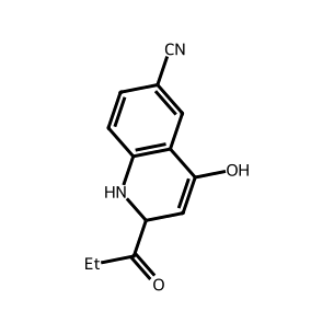 CCC(=O)C1C=C(O)c2cc(C#N)ccc2N1